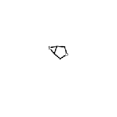 C1OCC2SC12